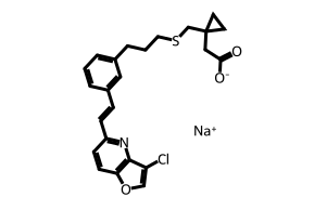 O=C([O-])CC1(CSCCCc2cccc(C=Cc3ccc4occ(Cl)c4n3)c2)CC1.[Na+]